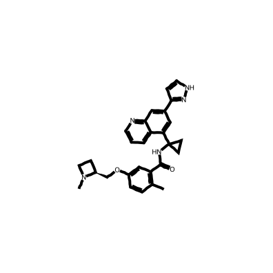 Cc1ccc(OC[C@@H]2CCN2C)cc1C(=O)NC1(c2cc(-c3cc[nH]n3)cc3ncccc23)CC1